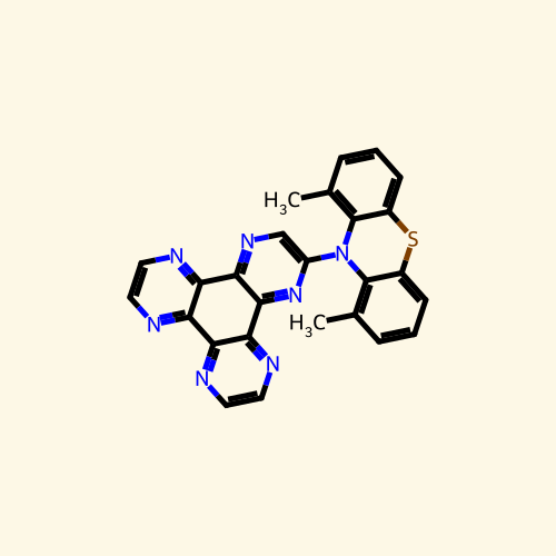 Cc1cccc2c1N(c1cnc3c4nccnc4c4nccnc4c3n1)c1c(C)cccc1S2